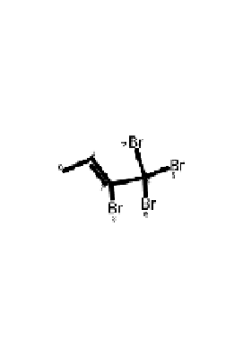 CC=C(Br)C(Br)(Br)Br